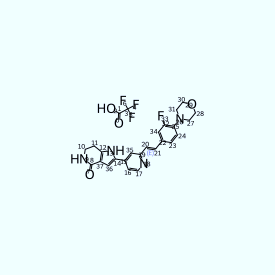 O=C(O)C(F)(F)F.O=C1NCCc2[nH]c(-c3ccnc(/C=C/c4ccc(N5CCOCC5)c(F)c4)c3)cc21